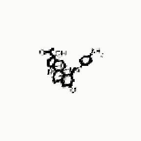 CC(=O)[C@@]1(O)CC[C@H]2[C@@H]3CCC4=CC(=O)CC(=CSc5ccc(N)cc5)[C@]4(C)[C@H]3CC[C@@]21C